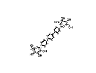 OC[C@H]1O[C@H](c2ccc(-c3ccc(-c4ccc([C@H]5O[C@H](CO)[C@@H](O)[C@H](O)[C@@H]5O)cc4)cc3)cc2)[C@@H](O)[C@@H](O)[C@@H]1O